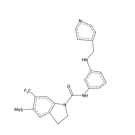 CSc1cc2c(cc1C(F)(F)F)N(C(=O)Nc1cccc(NCc3ccncc3)c1)CC2